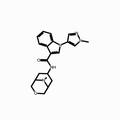 CN1C2COCC1CC(NC(=O)c1cn(-c3cnn(C)c3)c3ccccc13)C2